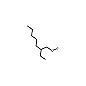 CCCCCC(CC)CS[S]